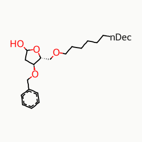 CCCCCCCCCCCCCCCCOC[C@H]1OC(O)C[C@@H]1OCc1ccccc1